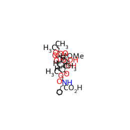 COC(=O)[C@@]12OC[C@]34C([C@@H](O)[C@@H]1O)[C@@]1(C)CC(=O)C(OCC(=O)NC(Cc5ccccc5)C(=O)O)=C(C)[C@@H]1C[C@H]3OC(=O)[C@H](OC(=O)C=C(C)C)[C@@H]24